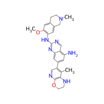 COc1cc2c(cc1Nc1ncc3c(N)cc(-c4cnc5c(c4C)NCCO5)cc3n1)CN(C)CC2